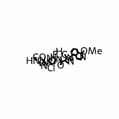 COc1nccc2c(-n3ncc(C(=O)Nc4cnc(-n5ncc(NC(=O)O)n5)c(Cl)c4)c3C(F)(F)F)cccc12